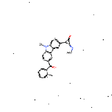 CCn1c2ccc(C(=O)c3ccccc3C)cc2c2cc(C3C(=O)C3=NOC(C)=O)ccc21